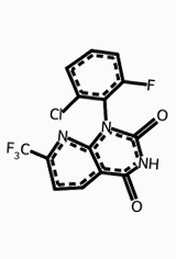 O=c1[nH]c(=O)n(-c2c(F)cccc2Cl)c2nc(C(F)(F)F)ccc12